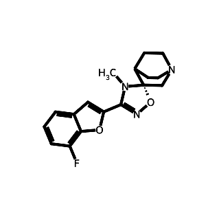 CN1C(c2cc3cccc(F)c3o2)=NO[C@]12CN1CCC2CC1